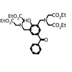 CCOC(=O)CN(CC(=O)OCC)Cc1cc(C(=O)c2ccccc2)cc(CN(CC(=O)OCC)CC(=O)OCC)c1O